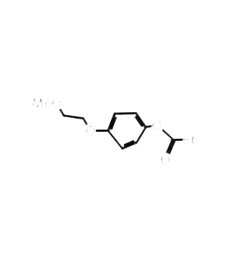 CCC(=O)Oc1ccc(OCCOC)cc1